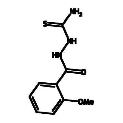 COc1ccccc1C(=O)NNC(N)=S